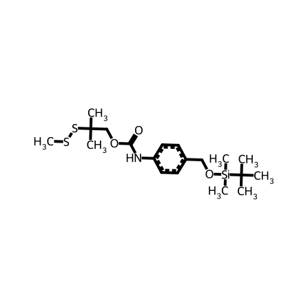 CSSC(C)(C)COC(=O)Nc1ccc(CO[Si](C)(C)C(C)(C)C)cc1